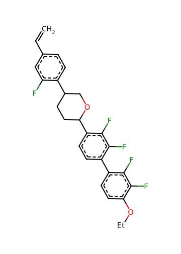 C=Cc1ccc(C2CCC(c3ccc(-c4ccc(OCC)c(F)c4F)c(F)c3F)OC2)c(F)c1